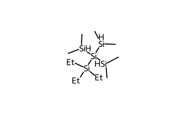 CC[Si](CC)(CC)[Si]([SiH](C)C)([SiH](C)C)[SiH](C)C